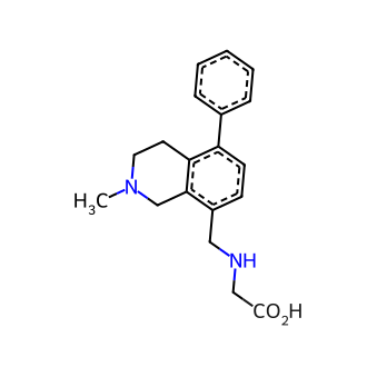 CN1CCc2c(-c3ccccc3)ccc(CNCC(=O)O)c2C1